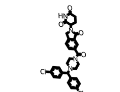 O=C1CCC(N2Cc3ccc(C(=O)N4CCN(C(c5ccc(Cl)cc5)c5ccc(Cl)cc5)CC4)cc3C2=O)C(=O)N1